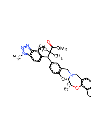 CC[C@@H]1CN(Cc2cc(C(c3ccc4c(nnn4C)c3C)C(C)(C)C(=O)OC)ccc2C)Cc2ccc3c(c2O1)CCC3